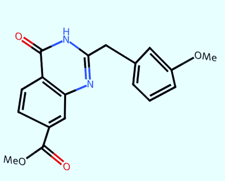 COC(=O)c1ccc2c(=O)[nH]c(Cc3cccc(OC)c3)nc2c1